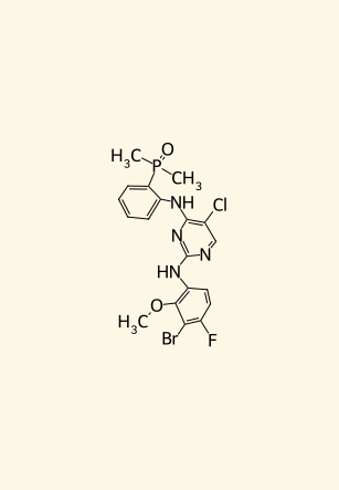 COc1c(Nc2ncc(Cl)c(Nc3ccccc3P(C)(C)=O)n2)ccc(F)c1Br